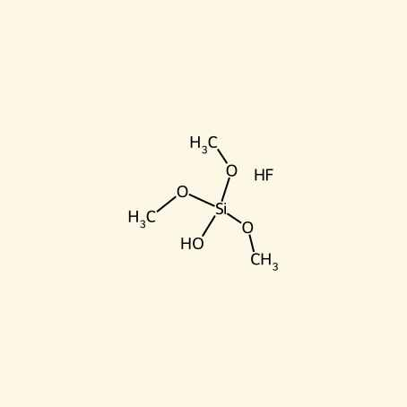 CO[Si](O)(OC)OC.F